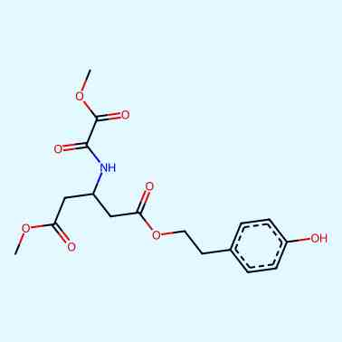 COC(=O)CC(CC(=O)OCCc1ccc(O)cc1)NC(=O)C(=O)OC